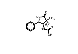 CC1(C)C(=O)NC(c2ccccc2)C1NC(=O)O